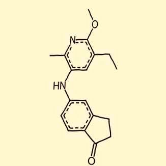 CCc1cc(Nc2ccc3c(c2)CCC3=O)c(C)nc1OC